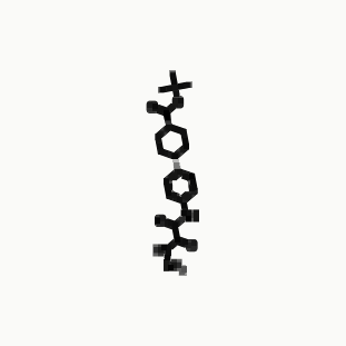 CC(C)(C)OC(=O)[C@H]1CC[C@H](c2ccc(NC(=O)C(=O)NN)cc2)CC1